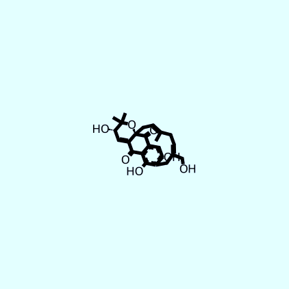 C/C1=C\C[C@@]23OC(C)(C)[C@@H](O)C=C2C(=O)c2c(cc(O)c(c2O)C/C(CO)=C\C1)C3=O